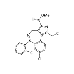 COC(=O)c1nc(CCl)n2c1CN=C(c1ccccc1Cl)c1cc(Cl)ccc1-2